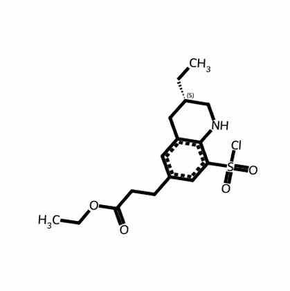 CCOC(=O)CCc1cc2c(c(S(=O)(=O)Cl)c1)NC[C@@H](CC)C2